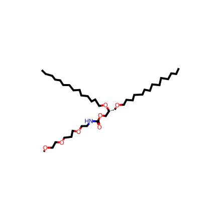 CCCCCCCCCCCCCCOC[C@H](COC(=O)NCCOCCCOCCOC)OCCCCCCCCCCCCCC